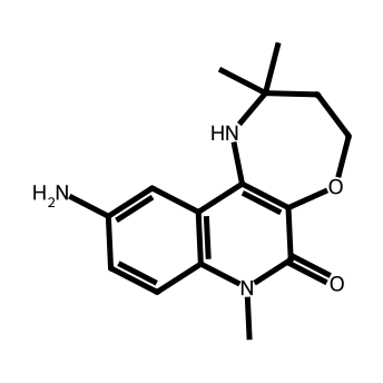 Cn1c(=O)c2c(c3cc(N)ccc31)NC(C)(C)CCO2